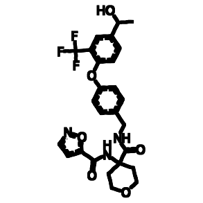 CC(O)c1ccc(Oc2ccc(CNC(=O)C3(NC(=O)c4ccno4)CCOCC3)cc2)c(C(F)(F)F)c1